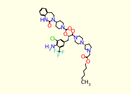 CCCCCCOC(=O)CN1CC[C@@H](N2CCN(C(=O)[C@@H](Cc3cc(Cl)c(N)c(C(F)(F)F)c3)OC(=O)N3CCC(N4CCc5ccccc5NC4=O)CC3)CC2)C1